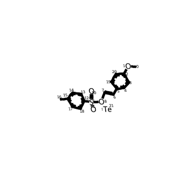 COc1ccc(C=COS(=O)(=O)c2ccc(C)cc2)cc1.[Te]